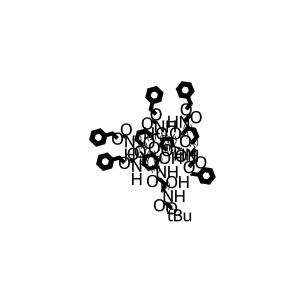 CC(C)(C)OC(=O)NC[C@H](O)C(=O)N[C@@H]1C[C@H](NC(=O)OCc2ccccc2)[C@@H](O[C@H]2O[C@H](CNC(=O)OCc3ccccc3)C=C[C@H]2NC(=O)OCc2ccccc2)[C@H](O[C@@H]2O[C@H](CO)[C@@H](O[C@H]3O[C@@H](CNC(=O)OCc4ccccc4)C=C[C@H]3NC(=O)OCc3ccccc3)[C@H]2O)[C@H]1O